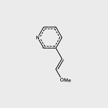 COC=Cc1[c]nccc1